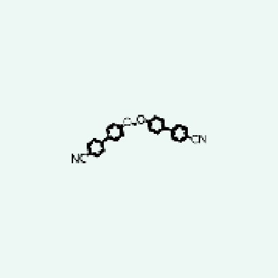 N#Cc1ccc(-c2ccc(OCOc3ccc(-c4ccc(C#N)cc4)cc3)cc2)cc1